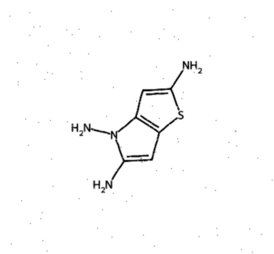 Nc1cc2c(cc(N)n2N)s1